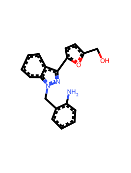 Nc1ccccc1Cn1nc(-c2ccc(CO)o2)c2ccccc21